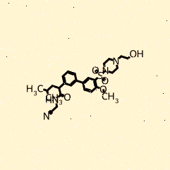 COc1ccc(-c2cccc(C(CC(C)C)C(=O)NCC#N)c2)cc1S(=O)(=O)N1CCN(CCO)CC1